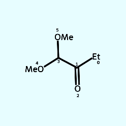 CCC(=O)C(OC)OC